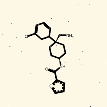 NC[C@]1(C2C=CC=C(Cl)C2)CC[C@H](NC(=O)c2ccco2)CC1